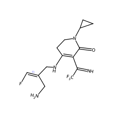 N=C(C1=C(NC/C(=C/F)CN)CCN(C2CC2)C1=O)C(F)(F)F